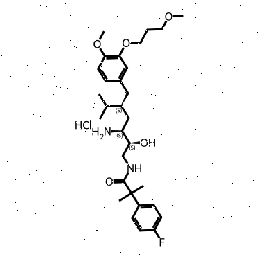 COCCCOc1cc(C[C@@H](C[C@H](N)[C@@H](O)CNC(=O)C(C)(C)c2ccc(F)cc2)C(C)C)ccc1OC.Cl